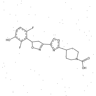 O=C(O)N1CCC(c2nc(C3=NOC(c4c(F)ccc(O)c4F)C3)cs2)CC1